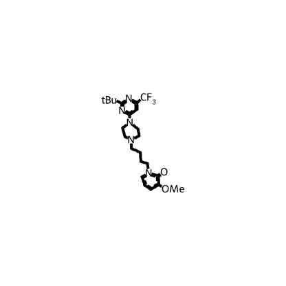 COc1cccn(CCCCN2CCN(c3cc(C(F)(F)F)nc(C(C)(C)C)n3)CC2)c1=O